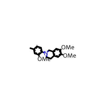 COc1cc2c(cc1OC)CN(c1c[c]c(C)cc1OC)CC2